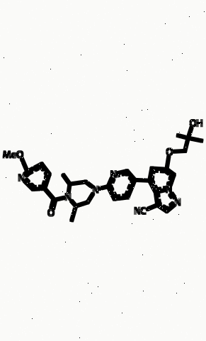 COc1ccc(C(=O)N2C(C)CN(c3ccc(-c4cc(OCC(C)(C)O)cn5ncc(C#N)c45)cn3)CC2C)cn1